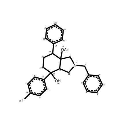 CC(=O)OC12CN(Cc3ccccc3)CC1C(O)(c1ccc(F)cc1)CCC2c1ccccc1